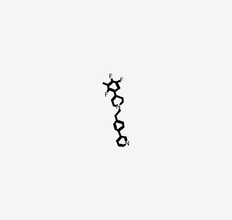 Cc1c(F)c(F)cc(C2=CCN(CCc3ccc(-c4cccnc4)cc3)CC2)c1F